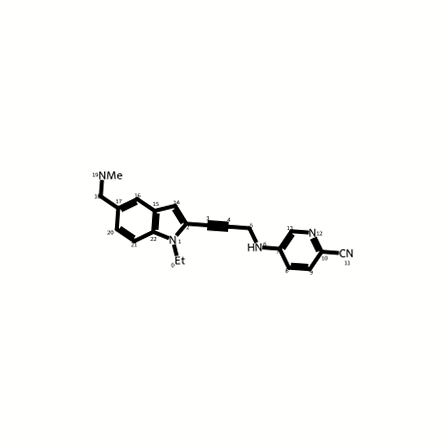 CCn1c(C#CCNc2ccc(C#N)nc2)cc2cc(CNC)ccc21